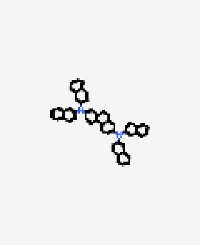 c1ccc2cc(N(c3ccc4ccccc4c3)c3ccc4c(ccc5cc(N(c6ccc7ccccc7c6)c6ccc7ccccc7c6)ccc54)c3)ccc2c1